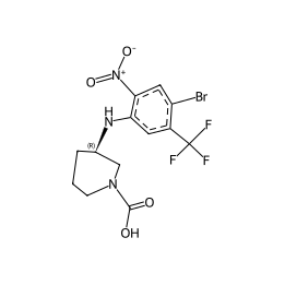 O=C(O)N1CCC[C@@H](Nc2cc(C(F)(F)F)c(Br)cc2[N+](=O)[O-])C1